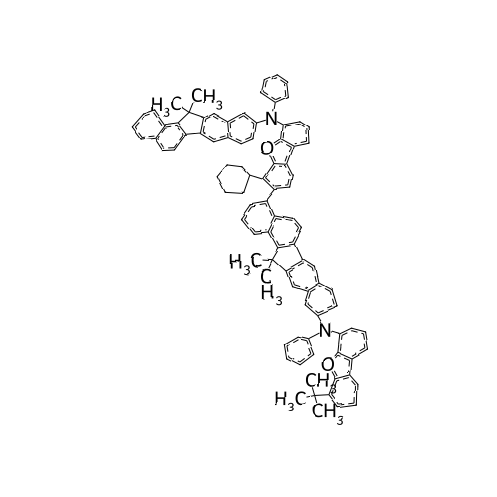 CC(C)(C)c1cccc2c1oc1c(N(c3ccccc3)c3ccc4cc5c(cc4c3)C(C)(C)c3c-5ccc4c(-c5ccc6c(oc7c(N(c8ccccc8)c8ccc9cc%10c(cc9c8)C(C)(C)c8c-%10ccc9ccccc89)cccc76)c5C5CCCCC5)cccc34)cccc12